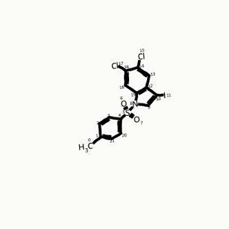 Cc1ccc(S(=O)(=O)n2cc(I)c3cc(Cl)c(Cl)cc32)cc1